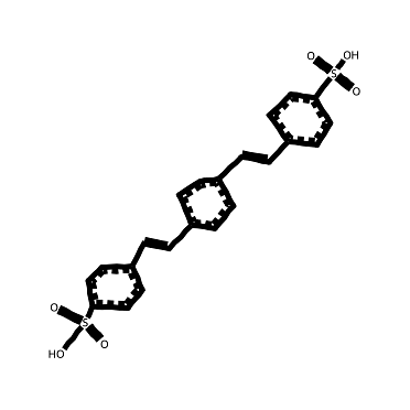 O=S(=O)(O)c1ccc(C=Cc2ccc(C=Cc3ccc(S(=O)(=O)O)cc3)cc2)cc1